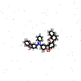 c1ccc(N(c2ccc3sc4ccccc4c3c2)c2ccc3oc4ccc5c6ccc7ccccc7c6sc5c4c3c2)cc1